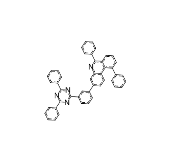 c1ccc(-c2nc(-c3ccccc3)nc(-c3cccc(-c4ccc5c(c4)nc(-c4ccccc4)c4cccc(-c6ccccc6)c45)c3)n2)cc1